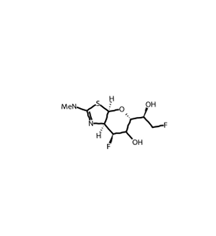 CNC1=N[C@H]2[C@H](O[C@H]([C@@H](O)CF)C(O)[C@H]2F)S1